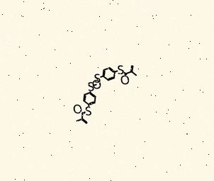 C=C(C)C(=O)Sc1ccc(SOSc2ccc(SC(=O)C(=C)C)cc2)cc1